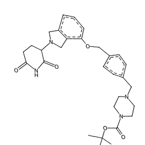 CC(C)(C)OC(=O)N1CCN(Cc2ccc(COc3cccc4c3CN(C3CCC(=O)NC3=O)C4)cc2)CC1